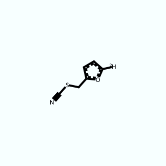 [2H]c1ccc(CSC#N)o1